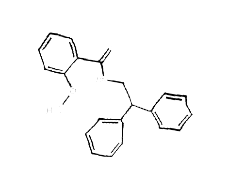 COc1ccccc1C(=O)NCC(c1ccccc1)c1ccccc1